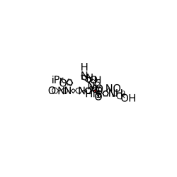 CC(C)Oc1ccccc1[C@H]1CN(C2CCOCC2)CCN1C1CC2(CCN(c3ccc(C(=O)NS(=O)(=O)c4ccc(NCC5CCC(C)(O)CC5)c([N+](=O)[O-])c4)c(N4c5cc6cc[nH]c6nc5O[C@@H]5CCOC[C@H]54)c3)CC2)C1